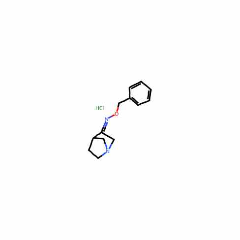 Cl.c1ccc(CON=C2CN3CCC2C3)cc1